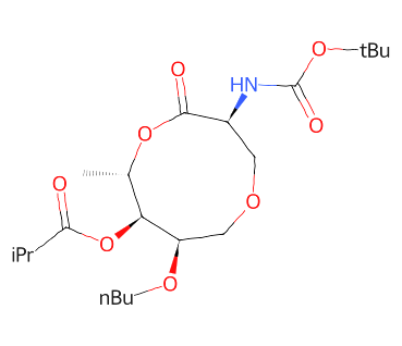 CCCCO[C@@H]1COC[C@H](NC(=O)OC(C)(C)C)C(=O)O[C@@H](C)[C@@H]1OC(=O)C(C)C